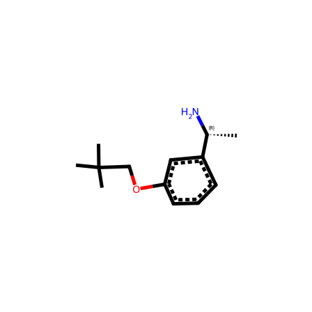 C[C@@H](N)c1cccc(OCC(C)(C)C)c1